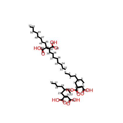 CCCCC(CC)CC(=CC(=O)O)C(=O)O.CCCCC(CC)CC(=CC(=O)O)C(=O)O.CCCCCCCCC(C(=O)O)=C(CCCCCCCC)C(=O)O